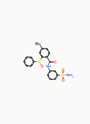 CC(C)(C)c1ccc(C(=O)Nc2cccc(S(N)(=O)=O)c2)c([S+]([O-])c2ccccc2)c1